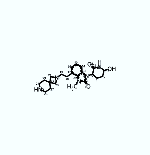 Cn1c(=O)n(C2CCC(O)NC2=O)c2cccc(CCN3CC4(CCNCC4)C3)c21